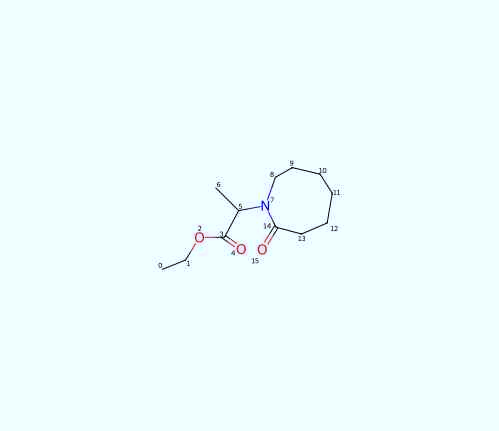 CCOC(=O)C(C)N1CCCCCCC1=O